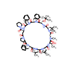 CC(C)C[C@@H]1NC(=O)[C@H](Cc2ccccc2)N(C)C(=O)[C@@H]2CCCN2C(=O)C[C@@H](C(=O)N2CCCCC2)NC(=O)C(Cc2ccccc2)N(C)C(=O)[C@H](Cc2ccccc2)N(C)C(=O)[C@H](COC(C)(C)C)NC(=O)[C@H](CC(C)C)N(C)C(=O)CN(C)C(=O)C([C@@H](C)O)NC(=O)[C@H](CC(C)C)N(C)C1=O